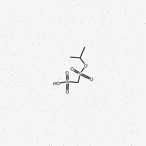 CC(C)OS(=O)(=O)CS(=O)(=O)O